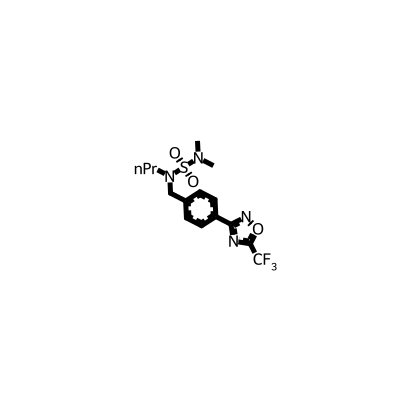 CCCN(Cc1ccc(-c2noc(C(F)(F)F)n2)cc1)S(=O)(=O)N(C)C